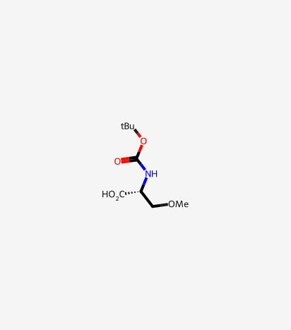 COC[C@@H](NC(=O)OC(C)(C)C)C(=O)O